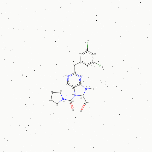 CN1c2nc(Cc3cc(F)cc(F)c3)ncc2N(C(=O)N2CCCC2)C1C=O